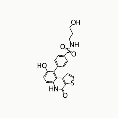 O=c1[nH]c2ccc(O)c(-c3ccc(S(=O)(=O)NCCCO)cc3)c2c2ccsc12